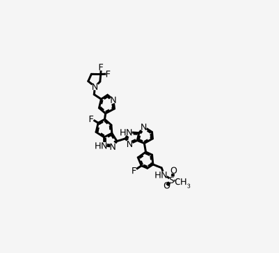 CS(=O)(=O)NCc1cc(F)cc(-c2ccnc3[nH]c(-c4n[nH]c5cc(F)c(-c6cncc(CN7CCC(F)(F)C7)c6)cc45)nc23)c1